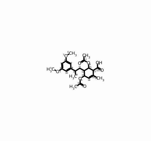 COc1cc(OC)cc(C(C)CC2C(OC(C)=O)C=C(C)C(C(=O)O)C2OC(C)=O)c1